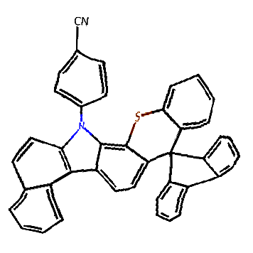 N#Cc1ccc(-n2c3ccc4ccccc4c3c3ccc4c(c32)Sc2ccccc2C42c3ccccc3-c3ccccc32)cc1